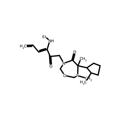 C=C/C=C(\NCC)C(=O)CN1COCN(C)C(C)(C2CCCC2C)C1=O